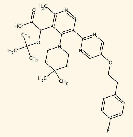 Cc1ncc(-c2ncc(OCCc3ccc(F)cc3)cn2)c(N2CCC(C)(C)CC2)c1C(OC(C)(C)C)C(=O)O